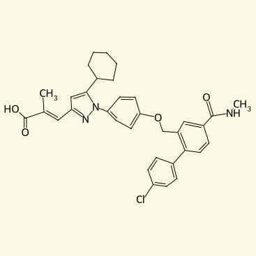 CNC(=O)c1ccc(-c2ccc(Cl)cc2)c(COc2ccc(-n3nc(/C=C(\C)C(=O)O)cc3C3CCCCC3)cc2)c1